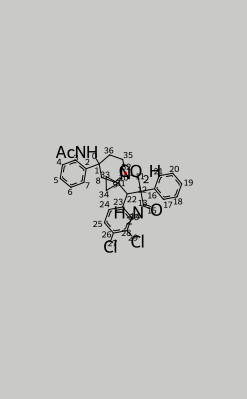 CC(=O)NC1(c2ccccc2)CCN(CC(C(N)=O)(c2ccccc2)C(c2ccc(Cl)c(Cl)c2)C2(C(=O)O)CC2)CC1